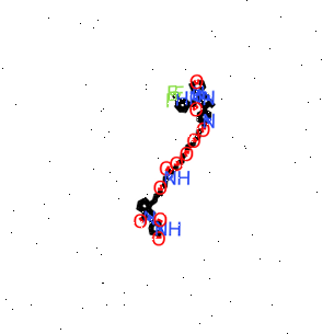 CC1=C(c2ccc(OCCOCCOCCOCC(=O)NCCOCCCc3cccc4c3CN(C3CCC(=O)NC3=O)C4=O)nc2)CC(NC(=O)c2cccc(C(F)(F)F)c2)(N2CCOCC2)C=N1